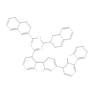 C1=CC2=CC=C(c3nc(-c4ccc5ccccc5c4)nc(-c4cccc5oc6cc(-c7cccc8c7oc7ccccc78)ccc6c45)n3)CC2C=C1